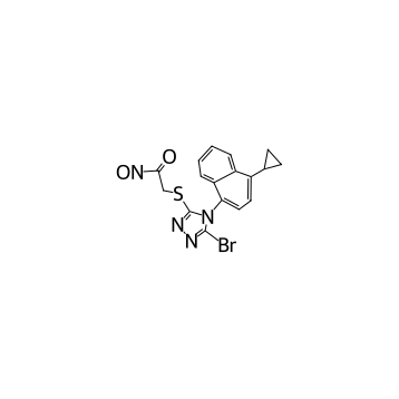 O=NC(=O)CSc1nnc(Br)n1-c1ccc(C2CC2)c2ccccc12